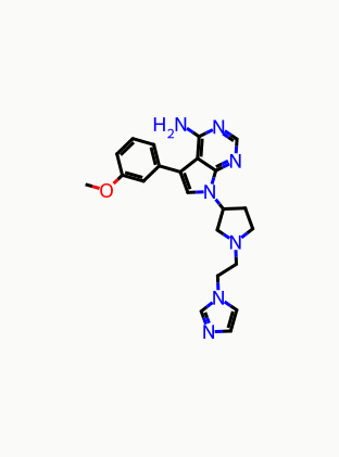 COc1cccc(-c2cn(C3CCN(CCn4ccnc4)C3)c3ncnc(N)c23)c1